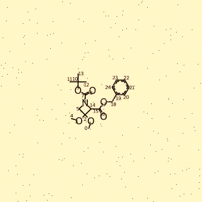 COC1(OC)CN(C(=O)OC(C)(C)C)C1C(=O)OCc1ccccc1